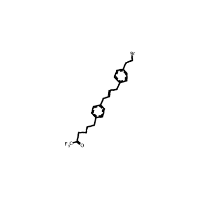 O=C(CCCCc1ccc(CC=CCc2ccc(CCBr)cc2)cc1)C(F)(F)F